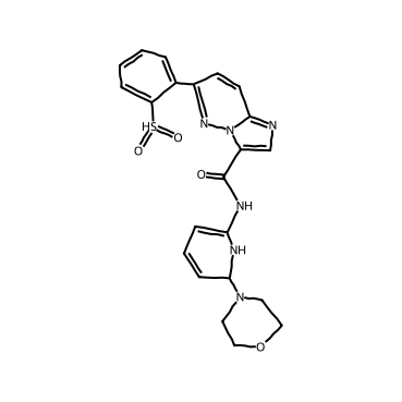 O=C(NC1=CC=CC(N2CCOCC2)N1)c1cnc2ccc(-c3ccccc3[SH](=O)=O)nn12